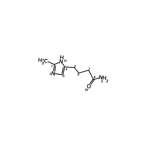 Cc1n[c]c(CCCC(N)=O)[nH]1